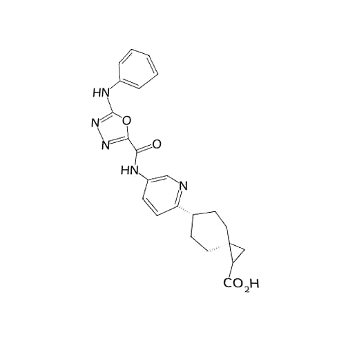 O=C(Nc1ccc([C@H]2CC[C@]3(CC2)CC3C(=O)O)nc1)c1nnc(Nc2ccccc2)o1